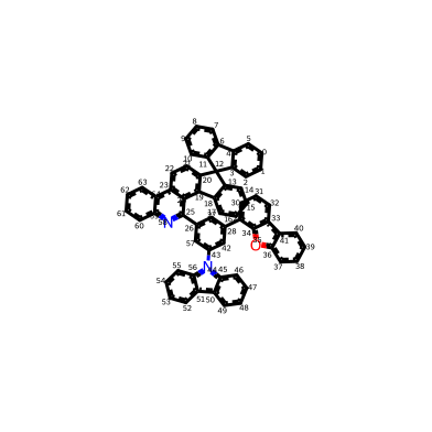 c1ccc2c(c1)-c1ccccc1C21c2ccccc2-c2c1ccc1c2c(-c2cc(-c3cccc4c3oc3ccccc34)cc(-n3c4ccccc4c4ccccc43)c2)nc2ccccc21